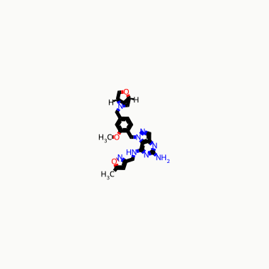 COc1cc(CN2C[C@@H]3C[C@H]2CO3)ccc1Cn1ncc2nc(N)nc(NCc3cc(C)on3)c21